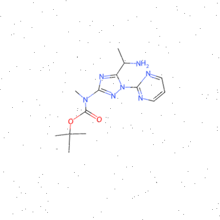 CC(N)c1nc(N(C)C(=O)OC(C)(C)C)nn1-c1ncccn1